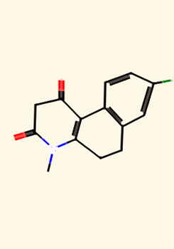 CN1C(=O)CC(=O)C2=C1CCc1cc(Br)ccc12